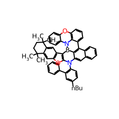 CCCCc1ccc(N2c3cc4ccccc4c4c3B(c3c2oc2cc5c(cc32)C(C)(C)CCC5(C)C)N2c3ccccc3Oc3cccc-4c32)c(-c2ccccc2)c1